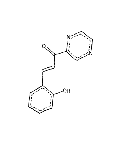 O=C(C=Cc1ccccc1O)c1cnccn1